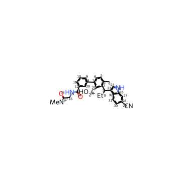 CCC(c1c(C)ccc(-c2cccc(C(=O)NCC(=O)NC)c2)c1C(=O)O)c1c[nH]c2cc(C#N)ccc12